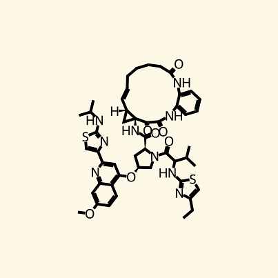 CCc1csc(NC(C(=O)N2C[C@@H](Oc3cc(-c4csc(NC(C)C)n4)nc4cc(OC)ccc34)C[C@H]2C(=O)N[C@@]23C[C@@H]2/C=C/CCCCC(=O)Nc2ccccc2NC(=O)C3=O)C(C)C)n1